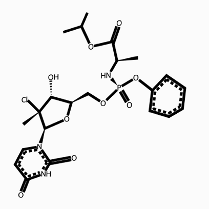 CC(C)OC(=O)[C@@H](C)N[P@@](=O)(OC[C@H]1O[C@@H](n2ccc(=O)[nH]c2=O)[C@](C)(Cl)[C@@H]1O)Oc1ccccc1